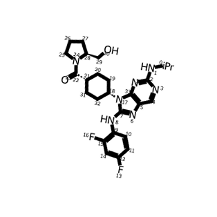 CC(C)Nc1ncc2nc(Nc3ccc(F)cc3F)n([C@H]3CC[C@@H](C(=O)N4CCC[C@H]4CO)CC3)c2n1